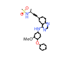 COc1cc(Nc2ncnc3ccc(C#CC(C)NS(C)(=O)=O)cc23)ccc1Oc1ccccc1